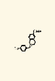 CC[C@@H](C)c1ccc(CN2CCc3cc(OC)ccc3C2)cc1